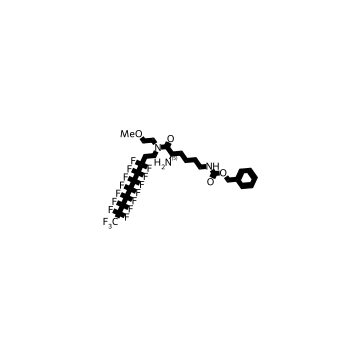 COCCN(CCC(F)(F)C(F)(F)C(F)(F)C(F)(F)C(F)(F)C(F)(F)C(F)(F)C(F)(F)F)C(=O)[C@@H](N)CCCCNC(=O)OCc1ccccc1